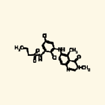 CCCS(=O)(=O)Nc1cc(Cl)cc(Nc2ccc3ncn(C)c(=O)c3c2C)c1Cl